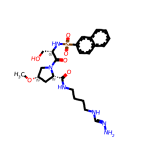 CO[C@H]1C[C@@H](C(=O)NCCCCNC=NN)N(C(=O)[C@H](CO)NS(=O)(=O)c2ccc3ccccc3c2)C1